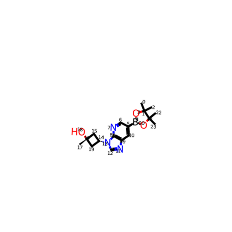 CC1(C)OB(c2cnc3c(c2)ncn3[C@H]2C[C@@](C)(O)C2)OC1(C)C